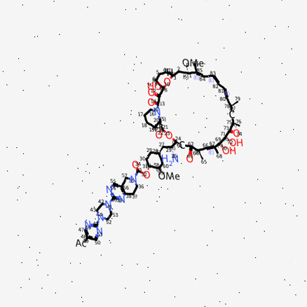 CO[C@H]1C[C@@H]2CC[C@@H](C)[C@@](O)(O2)C(=O)C(=O)N2CCCC[C@H]2C(=O)O[C@H]([C@H](N)C[C@@H]2CC[C@@H](OC(=O)N3CCc4nc(N5CCN(c6ncc(C(C)=O)cn6)CC5)ncc4C3)[C@H](OC)C2)CC(=O)[C@H](C)/C=C(\C)[C@@H](O)[C@@H](O)C(=O)[C@H](C)C[C@H](C)/C=C/C=C/C=C/1C